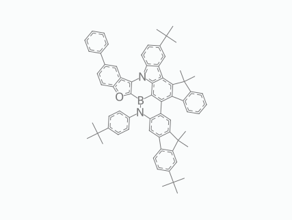 CC(C)(C)c1ccc(N2B3c4oc5ccc(-c6ccccc6)cc5c4-n4c5ccc(C(C)(C)C)cc5c5c6c(c(c3c54)-c3cc4c(cc32)-c2ccc(C(C)(C)C)cc2C4(C)C)-c2ccccc2C6(C)C)cc1